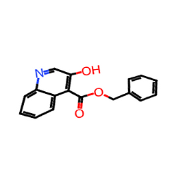 O=C(OCc1ccccc1)c1c(O)cnc2ccccc12